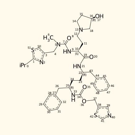 CC(C)c1nc(CN(C)C(=O)N[C@@H](CCN2CC[C@@H](O)C2)C(=O)N[C@H](CC[C@H](Cc2ccccc2)NC(=O)OCc2cncs2)Cc2ccccc2)cs1